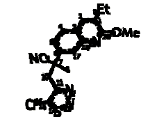 CCc1cc2ccc(C(C)(C#N)Cc3nnsc3Cl)cc2nc1OC